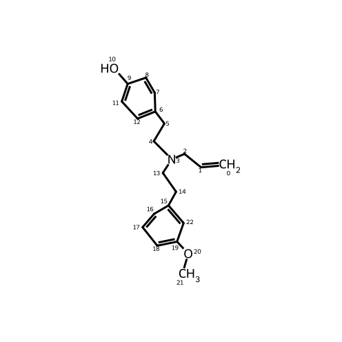 C=CCN(CCc1ccc(O)cc1)CCc1cccc(OC)c1